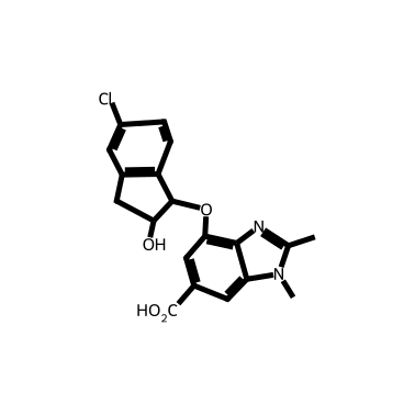 Cc1nc2c(OC3c4ccc(Cl)cc4CC3O)cc(C(=O)O)cc2n1C